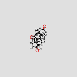 C[C@]12CCC(=O)C[C@H]1CC(=O)[C@@H]1[C@@H]2CC[C@]2(C)C(=O)CC[C@@H]12